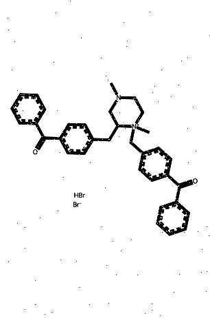 Br.CN1CC[N+](C)(Cc2ccc(C(=O)c3ccccc3)cc2)C(Cc2ccc(C(=O)c3ccccc3)cc2)C1.[Br-]